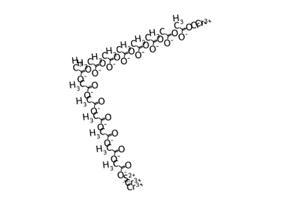 CC(=O)[O-].CC(=O)[O-].CC(=O)[O-].CC(=O)[O-].CC(=O)[O-].CC(=O)[O-].CC(=O)[O-].CC(=O)[O-].CC(=O)[O-].CC(=O)[O-].CC(=O)[O-].CC(=O)[O-].CC(=O)[O-].CC(=O)[O-].[Cr+3].[Cr+3].[Cr+3].[Cr+3].[S+2]